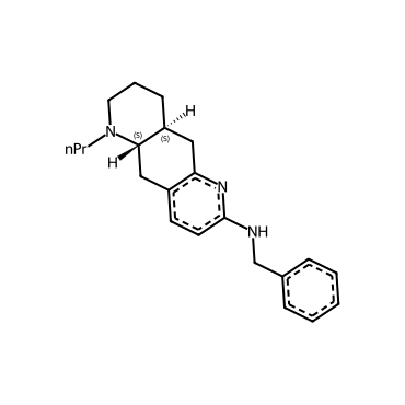 CCCN1CCC[C@H]2Cc3nc(NCc4ccccc4)ccc3C[C@@H]21